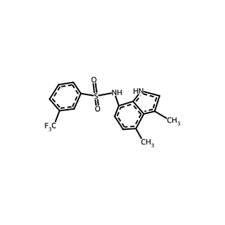 Cc1ccc(NS(=O)(=O)c2cccc(C(F)(F)F)c2)c2[nH]cc(C)c12